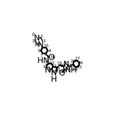 CN1CCN(c2ccc(C(=O)Nc3cnc4[nH]cc(C=C5N=C(c6ccccc6)NC5=O)c4c3)cc2)CC1